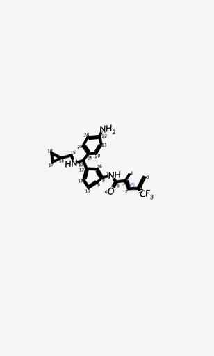 C=C(/C=C(\C)C(=O)Nc1cccc(C(NCC2CC2)c2ccc(N)cc2)c1)C(F)(F)F